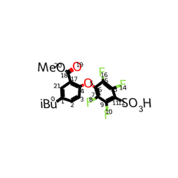 CCC(C)c1ccc(Oc2c(F)c(F)c(S(=O)(=O)O)c(F)c2F)c(C(=O)OC)c1